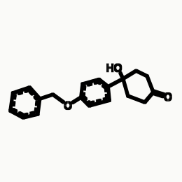 O=C1CCC(O)(c2ccc(OCc3ccccc3)cc2)CC1